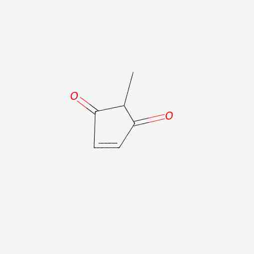 CC1C(=O)C=CC1=O